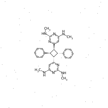 CNc1cc([C@H]2[C@H](c3ccccc3)[C@H](c3cc(NC)nc(NC)n3)[C@H]2c2ccccc2)nc(NC)n1